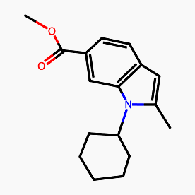 COC(=O)c1ccc2cc(C)n(C3CCCCC3)c2c1